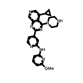 COc1cccc(Nc2cc(-c3nc(N4CCNCC4)c4c(C5CC5)cncc4n3)ccn2)n1